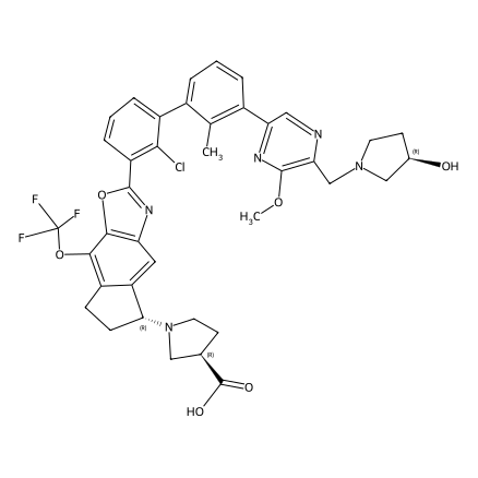 COc1nc(-c2cccc(-c3cccc(-c4nc5cc6c(c(OC(F)(F)F)c5o4)CC[C@H]6N4CC[C@@H](C(=O)O)C4)c3Cl)c2C)cnc1CN1CC[C@@H](O)C1